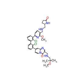 COc1nc(-c2cccc(-c3cccc(-c4ccn5c(=O)c(CNCC(C)(C)OC)cnc5c4)c3Cl)c2Cl)ccc1CNCC1CCC(=O)N1